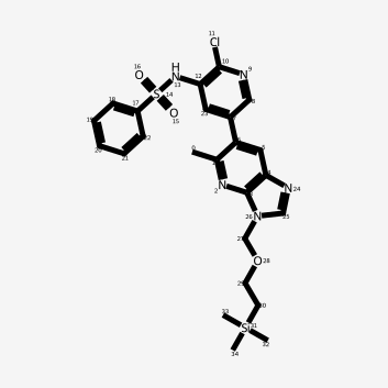 Cc1nc2c(cc1-c1cnc(Cl)c(NS(=O)(=O)c3ccccc3)c1)ncn2COCC[Si](C)(C)C